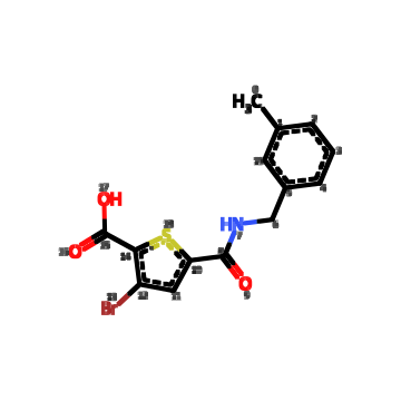 Cc1cccc(CNC(=O)c2cc(Br)c(C(=O)O)s2)c1